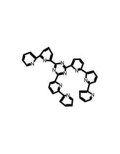 c1ccc(-c2cccc(-c3cccc(-c4nc(-c5cccc(-c6ccccn6)n5)nc(-c5cccc(-c6ccccn6)n5)n4)n3)n2)nc1